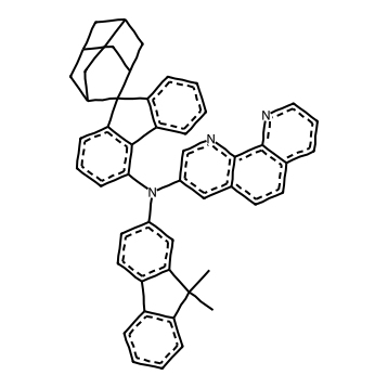 CC1(C)c2ccccc2-c2ccc(N(c3cnc4c(ccc5cccnc54)c3)c3cccc4c3-c3ccccc3C43C4CC5CC(C4)CC3C5)cc21